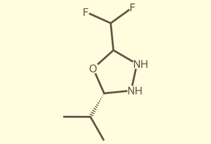 CC(C)[C@H]1NNC(C(F)F)O1